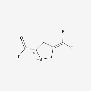 O=C(I)[C@H]1BCC(=C(F)F)C1